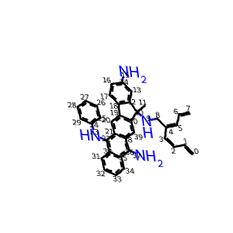 C=C/C=C\C(=C\C=C)CNC1(C)c2cc(N)ccc2-c2cc3c(Nc4ccccc4)c4ccccc4c(N)c3cc21